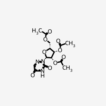 CC(=O)OC[C@H]1O[C@@H](n2ncc(=O)[nH]c2=O)[C@@H](OC(C)=O)[C@H]1OC(C)=O